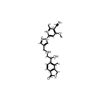 COc1cc(-n2cc(CNCC(O)c3ccc4c(c3C)COC4=O)cn2)nc(C)c1C#N